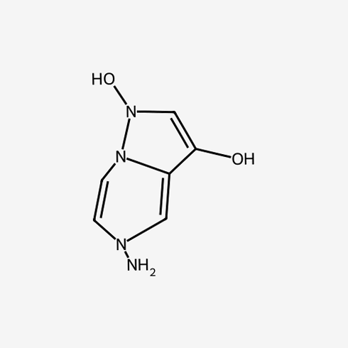 NN1C=CN2C(=C1)C(O)=CN2O